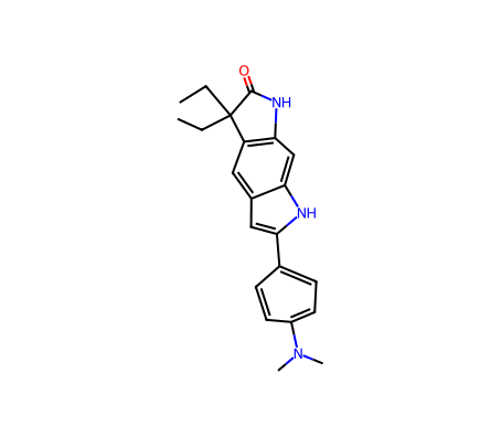 CCC1(CC)C(=O)Nc2cc3[nH]c(-c4ccc(N(C)C)cc4)cc3cc21